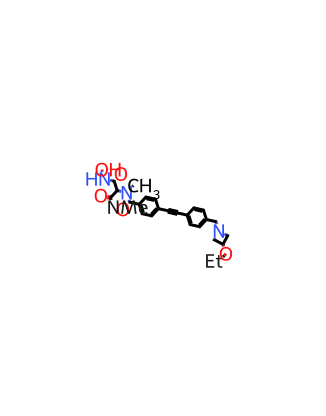 CCOC1CN(Cc2ccc(C#Cc3ccc(C(=O)N(C)C(C(=O)NC)C(=O)NO)cc3)cc2)C1